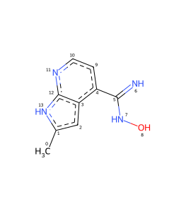 Cc1cc2c(C(=N)NO)ccnc2[nH]1